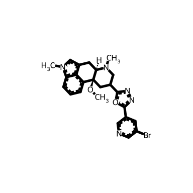 CO[C@]12CC(c3nnc(-c4cncc(Br)c4)o3)CN(C)[C@@H]1Cc1cn(C)c3cccc2c13